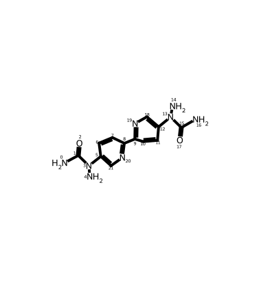 NC(=O)N(N)c1ccc(-c2ccc(N(N)C(N)=O)cn2)nc1